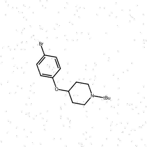 CC(C)(C)N1CCC(Oc2ccc(Br)cc2)CC1